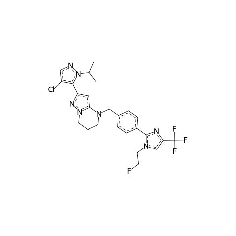 CC(C)n1ncc(Cl)c1-c1cc2n(n1)CCCN2Cc1ccc(-c2nc(C(F)(F)F)cn2CCF)cc1